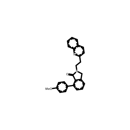 COc1ccc(-c2cccc3c2C(=O)N(CCc2ccc4ccccc4n2)C3)cc1